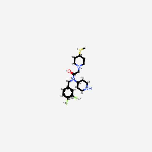 CSC1CCN(CC(=O)N(Cc2ccc(F)c(F)c2)C2CCNCC2)CC1